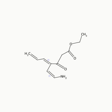 C=C/C=C(\C=C/N)C(=O)CC(=O)OCC